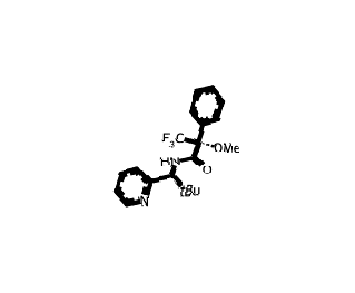 CO[C@@](C(=O)NC(c1ccccn1)C(C)(C)C)(c1ccccc1)C(F)(F)F